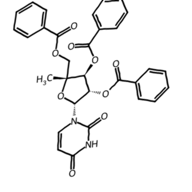 C[C@]1(COC(=O)c2ccccc2)O[C@@H](n2ccc(=O)[nH]c2=O)[C@@H](OC(=O)c2ccccc2)[C@@H]1OC(=O)c1ccccc1